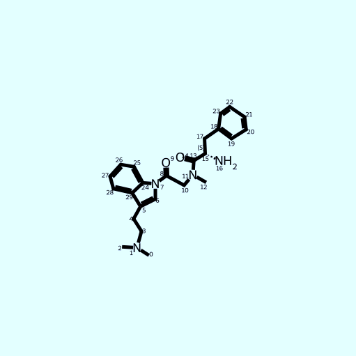 CN(C)CCc1cn(C(=O)CN(C)C(=O)[C@@H](N)Cc2ccccc2)c2ccccc12